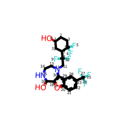 OC1CCC(F)(F)C(C(F)(F)CN2CCNC(O)c3oc4ccc(C(F)(F)F)cc4c32)C1